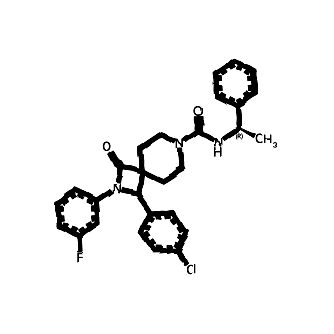 C[C@@H](NC(=O)N1CCC2(CC1)C(=O)N(c1cccc(F)c1)C2c1ccc(Cl)cc1)c1ccccc1